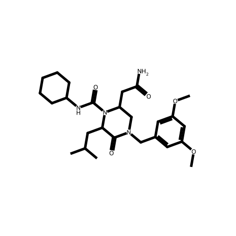 COc1cc(CN2CC(CC(N)=O)N(C(=O)NC3CCCCC3)C(CC(C)C)C2=O)cc(OC)c1